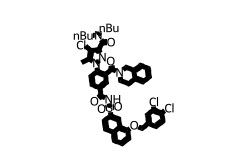 CCCCN(CCCC)C(=O)c1nn(-c2ccc(C(=O)NS(=O)(=O)c3ccc4cccc(OCc5ccc(Cl)c(Cl)c5)c4c3)cc2C(=O)N2CCc3ccccc3C2)c(C)c1Cl